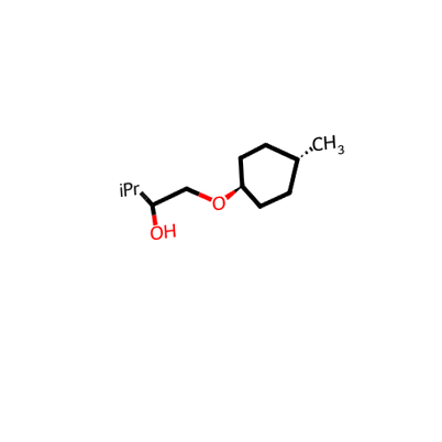 CC(C)C(O)CO[C@H]1CC[C@H](C)CC1